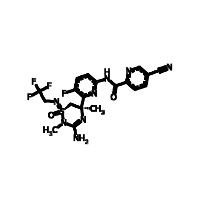 CN1C(N)=N[C@](C)(c2nc(NC(=O)c3ccc(C#N)cn3)ccc2F)C[S@@]1(=O)=NCC(F)(F)F